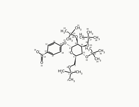 C[Si](C)(C)OC[C@H]1O[C@H](Oc2ccc([N+](=O)[O-])cc2)[C@@H](O[Si](C)(C)C)[C@@H](O[Si](C)(C)C)[C@@H]1O[Si](C)(C)C